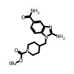 CC(C)(C)OC(=O)N1CCC(Cn2c(N)nc3cc(C(N)=O)ccc32)CC1